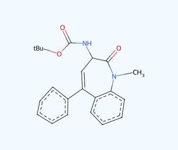 CN1C(=O)C(NC(=O)OC(C)(C)C)C=C(c2ccccc2)c2ccccc21